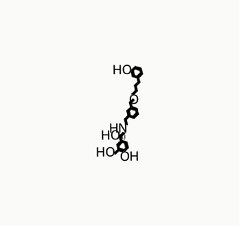 OCc1cc([C@@H](O)CNCCc2cccc(COCCCCc3cccc(O)c3)c2)ccc1O